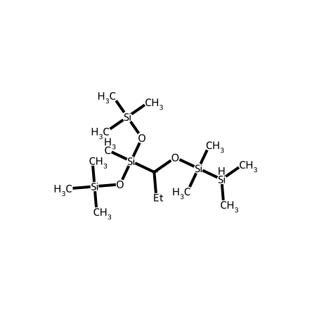 CC[C](O[Si](C)(C)[SiH](C)C)[Si](C)(O[Si](C)(C)C)O[Si](C)(C)C